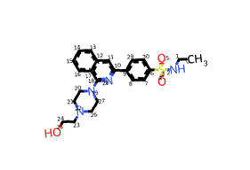 CCNS(=O)(=O)c1ccc(-c2cc3ccccc3c(N3CCN(CCO)CC3)n2)cc1